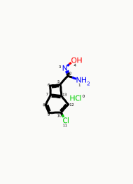 Cl.NC(=NO)C1=Cc2ccc(Cl)cc21